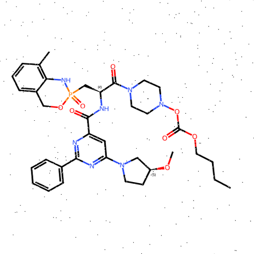 CCCCOC(=O)ON1CCN(C(=O)[C@H](CP2(=O)Nc3c(C)cccc3CO2)NC(=O)c2cc(N3CC[C@H](OC)C3)nc(-c3ccccc3)n2)CC1